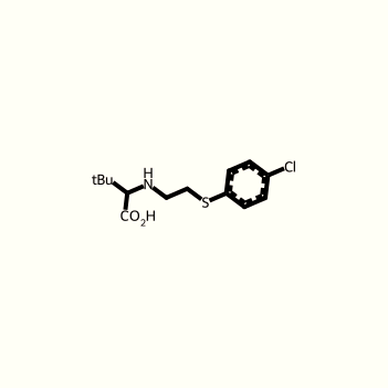 CC(C)(C)C(NCCSc1ccc(Cl)cc1)C(=O)O